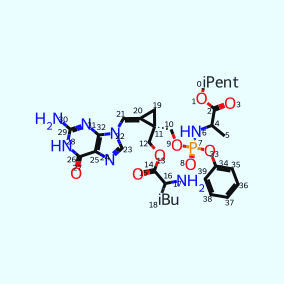 CCCC(C)OC(=O)C(C)N[P@](=O)(OC[C@@]1(COC(=O)C(N)C(C)CC)C/C1=C/n1cnc2c(=O)[nH]c(N)nc21)Oc1ccccc1